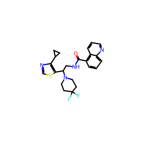 O=C(NCC(c1scnc1C1CC1)N1CCC(F)(F)CC1)c1cccc2ncccc12